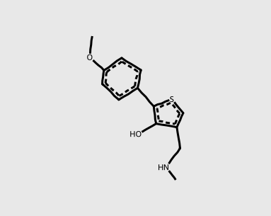 CNCc1csc(-c2ccc(OC)cc2)c1O